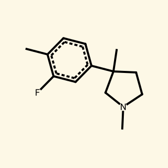 Cc1ccc(C2(C)CCN(C)C2)cc1F